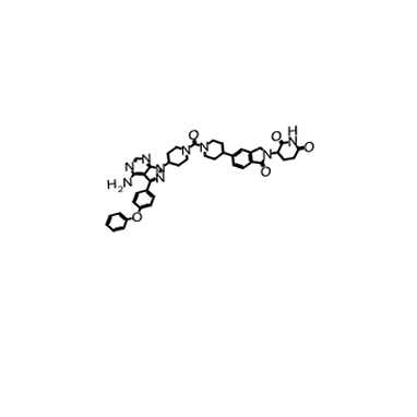 Nc1ncnc2c1c(-c1ccc(Oc3ccccc3)cc1)nn2C1CCN(C(=O)N2CCC(c3ccc4c(c3)CN(C3CCC(=O)NC3=O)C4=O)CC2)CC1